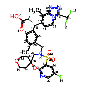 Cc1ccc([C@H](CC(=O)O)c2ccn3c(C(F)F)nnc3c2C)cc1CN1CC2(CCOCC2)Oc2ncc(F)cc2S1(=O)=O